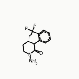 NN1CCCC(c2ccccc2C(F)(F)F)C1=O